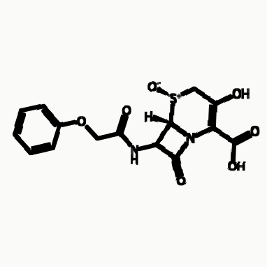 O=C(COc1ccccc1)NC1C(=O)N2C(C(=O)O)=C(O)C[S@+]([O-])[C@@H]12